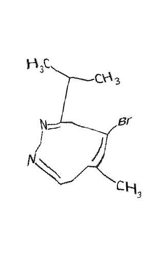 Cc1cnnc(C(C)C)c1Br